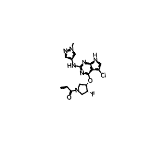 C=CC(=O)N1C[C@@H](F)[C@@H](Oc2nc(Nc3cnn(C)c3)nc3[nH]cc(Cl)c23)C1